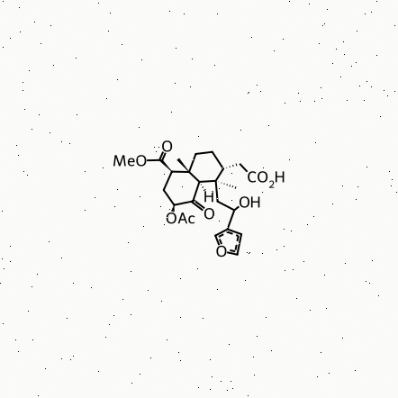 COC(=O)[C@@H]1C[C@H](OC(C)=O)C(=O)[C@@H]2[C@](C)(CC(O)c3ccoc3)[C@@H](CC(=O)O)CC[C@]21C